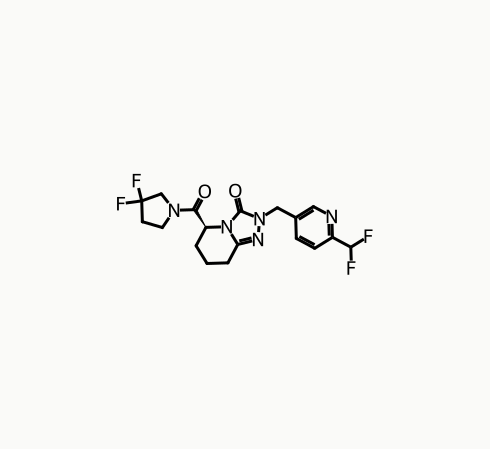 O=C([C@@H]1CCCc2nn(Cc3ccc(C(F)F)nc3)c(=O)n21)N1CCC(F)(F)C1